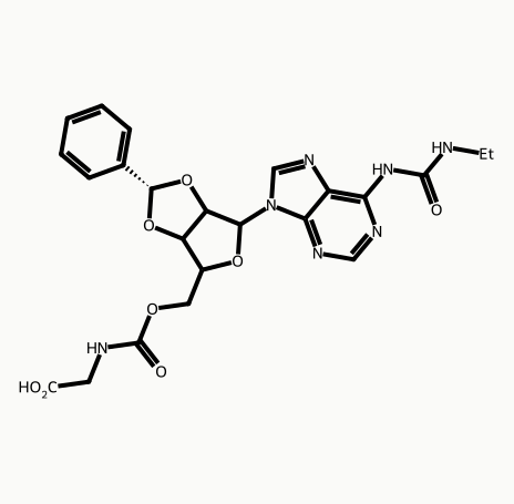 CCNC(=O)Nc1ncnc2c1ncn2C1OC(COC(=O)NCC(=O)O)C2O[C@H](c3ccccc3)OC21